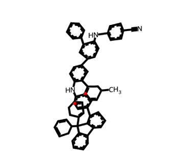 CC1C=CC=C(c2cc(-c3ccc(Nc4ccc(C#N)cc4)c(-c4ccccc4)c3)ccc2Nc2ccc(-c3cccc4c3C(C3=CC=CCC3)(C3C=CC=CC3)c3ccccc3-4)cc2)C1